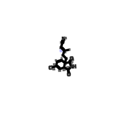 C/C(=C\C#N)CCC12C=CC(Cl)=CC1C(=O)NC2=O